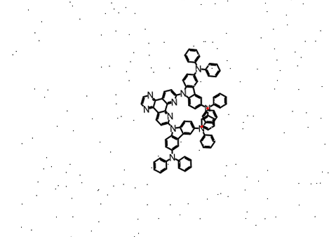 c1ccc(N(c2ccccc2)c2ccc3c(c2)c2cc(N(c4ccccc4)c4ccccc4)ccc2n3-c2ccc3c4nccnc4c4ccc(-n5c6ccc(N(c7ccccc7)c7ccccc7)cc6c6cc(N(c7ccccc7)c7ccccc7)ccc65)nc4c3n2)cc1